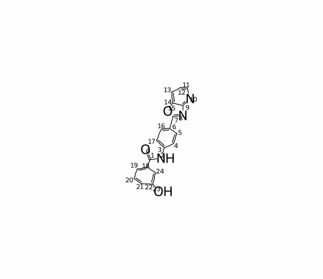 O=C(Nc1ccc(-c2nc3ncccc3o2)cc1)c1cccc(O)c1